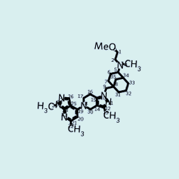 COCCN(C)C1CCC2(Cn3nc(C)c4c3CCN(c3cc(C)nc5c3cnn5C)C4)CCCC1C2